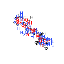 CC(C)C[C@H](NC(=O)[C@H](CC(C)C)NC(=O)[C@H](Cc1c[nH]c2ccccc12)NC(=O)[C@H](CC(N)=O)NC(=O)[C@@H](NC(=O)[C@H](Cc1ccccc1)NC(=O)[C@@H](N)CC(N)=O)C(C)C)C(=O)N[C@@H](C)C(=O)N[C@@H](CCC(N)=O)C(=O)N[C@@H](CO)C(=O)N1CCC[C@H]1C(=O)N[C@@H](CO)C(=O)N[C@@H](CO)C(=O)NCC(=O)N[C@@H](C)C(=O)N1CCC[C@H]1C(=O)N1CCC[C@H]1C(=O)N1CCC[C@H]1C(=O)N[C@@H](CO)C(=O)O